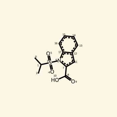 CC(C)S(=O)(=O)n1c(C(=O)O)cc2ccccc21